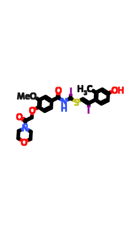 COc1cc(C(=O)NC(I)S/C=C(\I)c2ccc(O)cc2C)ccc1OCC(=O)N1CCOCC1